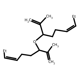 C=C(C)C(CC/C=C\CC)OC(CC/C=C\CC)C(=C)C